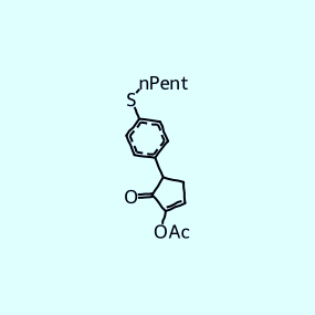 CCCCCSc1ccc(C2CC=C(OC(C)=O)C2=O)cc1